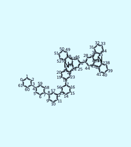 c1ccc(-c2ccc(-c3cccc(-c4cccc(-c5ccc6c(c5)c5cc(-c7cc8c9ccccc9n9c%10ccccc%10c(c7)c89)cc7c8ccccc8n6c75)c4)c3)cc2)cc1